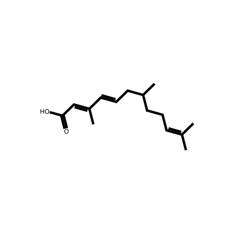 CC(C)=CCCC(C)C/C=C/C(C)=C/C(=O)O